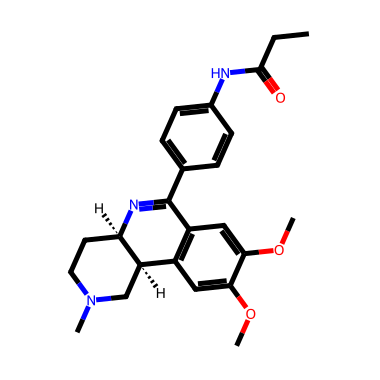 CCC(=O)Nc1ccc(C2=N[C@@H]3CCN(C)C[C@@H]3c3cc(OC)c(OC)cc32)cc1